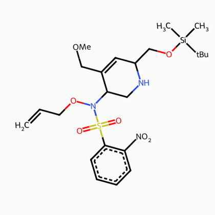 C=CCON(C1CNC(CO[Si](C)(C)C(C)(C)C)C=C1COC)S(=O)(=O)c1ccccc1[N+](=O)[O-]